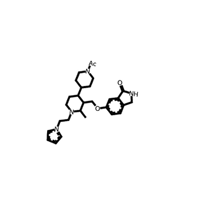 CC(=O)N1CCC(C2CCN(CCn3cccc3)C(C)C2COc2ccc3c(c2)C(=O)NC3)CC1